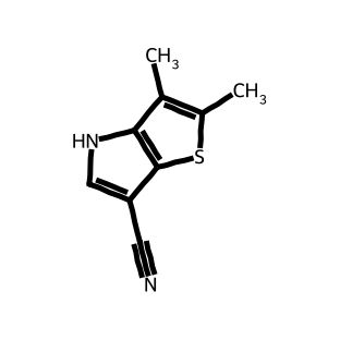 Cc1sc2c(C#N)c[nH]c2c1C